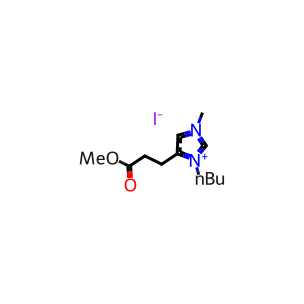 CCCC[n+]1cn(C)cc1CCC(=O)OC.[I-]